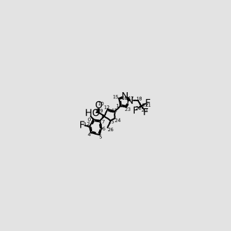 Cc1c(F)cccc1C1(C(=O)O)C=C(c2cnn(CC(F)(F)F)c2)CC1C